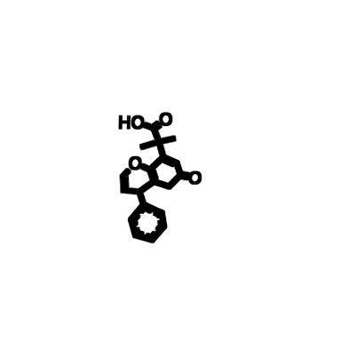 CC(C)(C(=O)O)C1=CC(=O)CC2=C1OC=CC2c1ccccc1